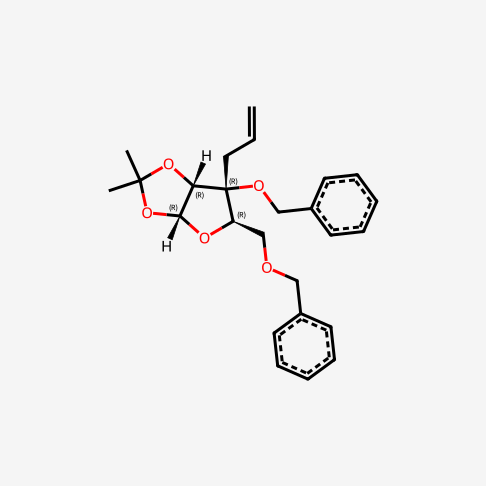 C=CC[C@@]1(OCc2ccccc2)[C@@H](COCc2ccccc2)O[C@@H]2OC(C)(C)O[C@@H]21